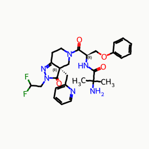 CC(C)(N)C(=O)N[C@H](COc1ccccc1)C(=O)N1CCC2=NN(CC(F)F)C(=O)[C@]2(Cc2ccccn2)C1